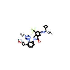 CO[C@H]1C[C@@H](c2cccc(N3Cc4c(cc(CN[C@H](C)C5CCC5)cc4C(F)(F)F)C3=O)c2-[n+]2cn(C)cn2)C1